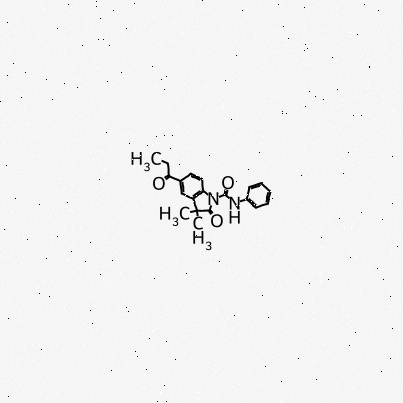 CCC(=O)c1ccc2c(c1)C(C)(C)C(=O)N2C(=O)Nc1ccccc1